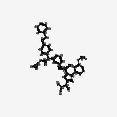 NCc1cccc(-n2nc(C(F)C(F)F)cc2C(=O)Nc2cccc(C(NCC3CC3)c3ccc(OCc4ccccc4)cc3)c2)c1